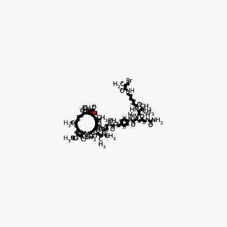 C=C(CBr)C(=O)NCCCCCC(=O)N[C@H](C(=O)N[C@@H](CCCNC(N)=O)C(=O)Nc1ccc(COC(=O)N(C)CCC(=O)N(C)[C@@H](C)C(=O)O[C@H]2CC(=O)N(C)c3cc(cc(OC)c3Cl)C/C(C)=C/C=C/[C@@H](OC)[C@@]3(O)C[C@H](OC(=O)N3)[C@@H](C)[C@@H]3O[C@@]23C)cc1)C(C)C